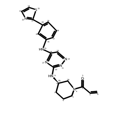 C=CC(=O)N1CCC[C@@H](Nc2nncc(Nc3cccc(-c4nccs4)c3)n2)C1